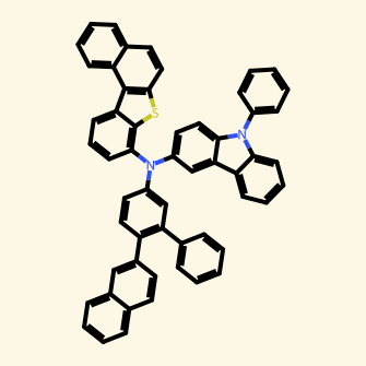 c1ccc(-c2cc(N(c3ccc4c(c3)c3ccccc3n4-c3ccccc3)c3cccc4c3sc3ccc5ccccc5c34)ccc2-c2ccc3ccccc3c2)cc1